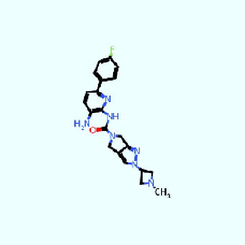 CN1CC(n2cc3c(n2)CN(C(=O)Nc2nc(-c4ccc(F)cc4)ccc2N)C3)C1